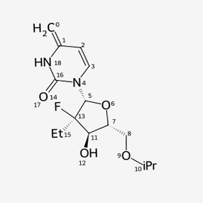 C=C1C=CN([C@@H]2O[C@H](COC(C)C)[C@@H](O)[C@]2(F)CC)C(=O)N1